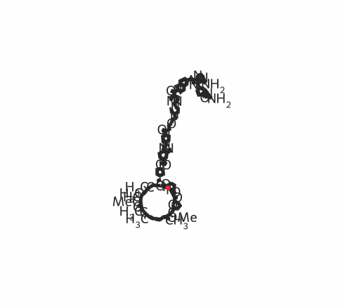 CO[C@H]1CC2CCCC(O2)C(=O)C(=O)N2CCCC[C@H]2C(=O)O[C@H](CC[C@H]2CC[C@H](OC(=O)N3CCc4nc(N5CCN(C(=O)CCOCCN6CCN(c7ncc(C(=O)N8CCc9cc(Cn%10nc(-c%11ccc%12oc(N)nc%12c%11)c%11c(N)ncnc%11%10)ccc9C8)cn7)CC6)CC5)ncc4C3)CC2)CC[C@H](C)/C=C(\C)[C@@H](O)[C@@H](OC)C(=O)[C@H](C)C[C@H](C)/C=C/C=C/C=C/1C